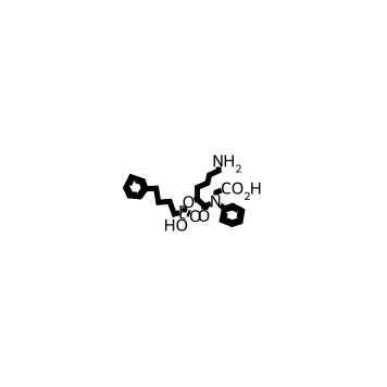 NCCCCC(OP(=O)(O)CCCCc1ccccc1)C(=O)N(CC(=O)O)c1ccccc1